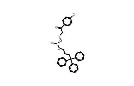 O=C(CSOB(O)OCCCC(c1ccccc1)(c1ccccc1)c1ccccc1)c1ccc(Cl)cc1